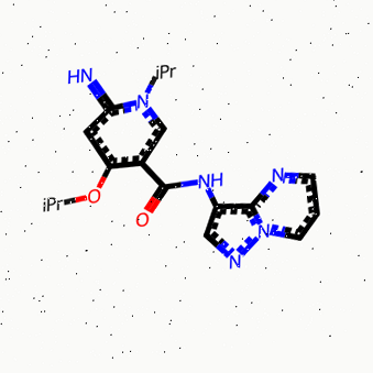 CC(C)Oc1cc(=N)n(C(C)C)cc1C(=O)Nc1cnn2cccnc12